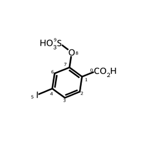 O=C(O)c1ccc(I)cc1OS(=O)(=O)O